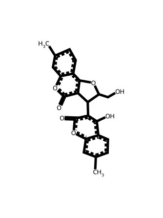 Cc1ccc2c(O)c(C3c4c(c5ccc(C)cc5oc4=O)OC3CO)c(=O)oc2c1